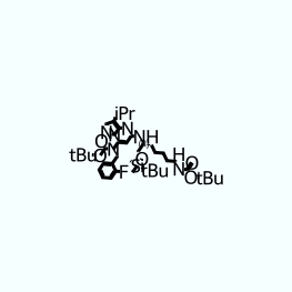 CC(C)c1cnn2c(N(Cc3ccccc3F)C(=O)OC(C)(C)C)cc(N[C@H](CCCCCNC(=O)OC(C)(C)C)CO[Si](C)(C)C(C)(C)C)nc12